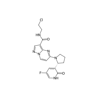 O=C(NCCCl)c1cnn2ccc(N3CCC[C@@H]3c3cc(F)c[nH]c3=O)nc12